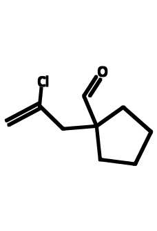 C=C(Cl)CC1(C=O)CCCC1